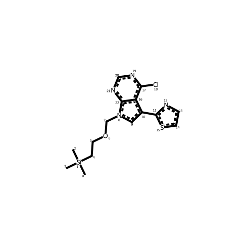 C[Si](C)(C)CCOCn1cc(-c2nccs2)c2c(Cl)ncnc21